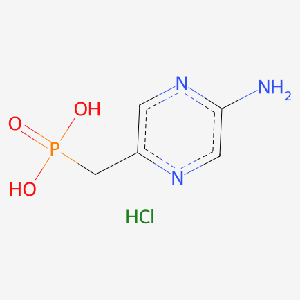 Cl.Nc1cnc(CP(=O)(O)O)cn1